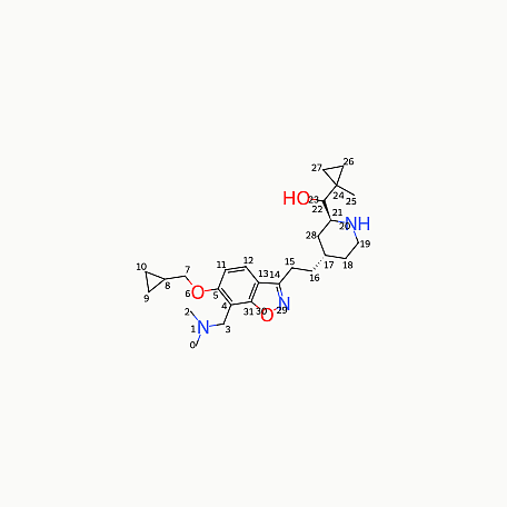 CN(C)Cc1c(OCC2CC2)ccc2c(CC[C@H]3CCN[C@H](C(O)C4(C)CC4)C3)noc12